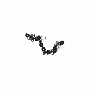 O=C(NC(=O)c1ccc2c(N=Nc3ccc(C(=O)c4ccc(-c5ccc(N=Nc6c(O)ccc7cc(C(=O)NC(=O)Nc8ccccc8Cl)ccc67)cc5)cc4)cc3)c(O)ccc2c1)Nc1ccccc1Cl